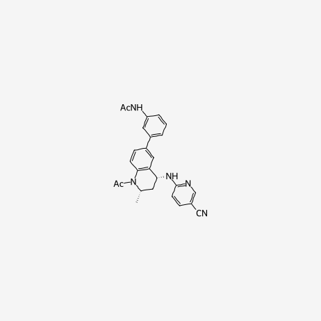 CC(=O)Nc1cccc(-c2ccc3c(c2)[C@H](Nc2ccc(C#N)cn2)C[C@H](C)N3C(C)=O)c1